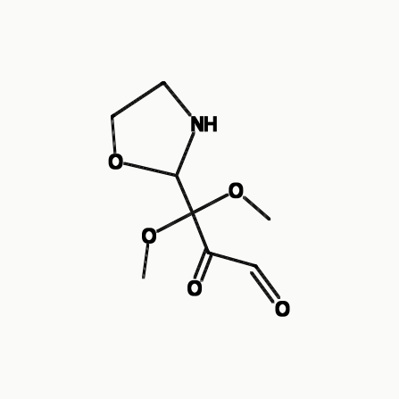 COC(OC)(C(=O)C=O)C1NCCO1